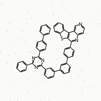 c1ccc(-c2ccc(-c3nc(-c4ccccc4)nc(-c4cccc(-c5cccc(-c6ccc(-c7nc8ccncc8c8c7sc7ccccc78)cc6)c5)c4)n3)cc2)cc1